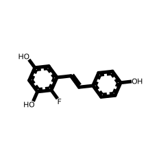 Oc1ccc(C=Cc2cc(O)cc(O)c2F)cc1